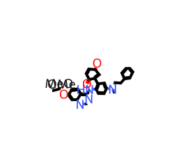 COCCOc1cc2ncnc(Nc3ccc(N(C)CCc4ccccc4)cc3C3=CC(=O)C=CC3=O)c2cc1OC